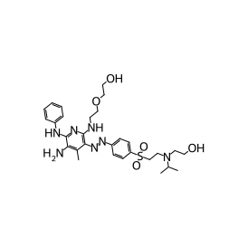 Cc1c(N)c(Nc2ccccc2)nc(NCCOCCO)c1/N=N/c1ccc(S(=O)(=O)CCN(CCO)C(C)C)cc1